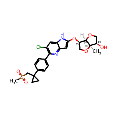 C[C@]12OC[C@@H](Oc3cc4nc(-c5ccc(C6(CS(C)(=O)=O)CC6)cc5)c(Cl)cc4[nH]3)[C@H]1OC[C@H]2O